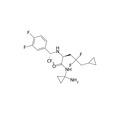 NC1(NC(=O)[C@H](CC(F)(F)CC2CC2)N[C@@H](c2ccc(F)c(F)c2)C(F)(F)F)CC1